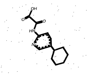 O=C(O)C(=O)Nc1ccc(C2CCCCC2)cn1